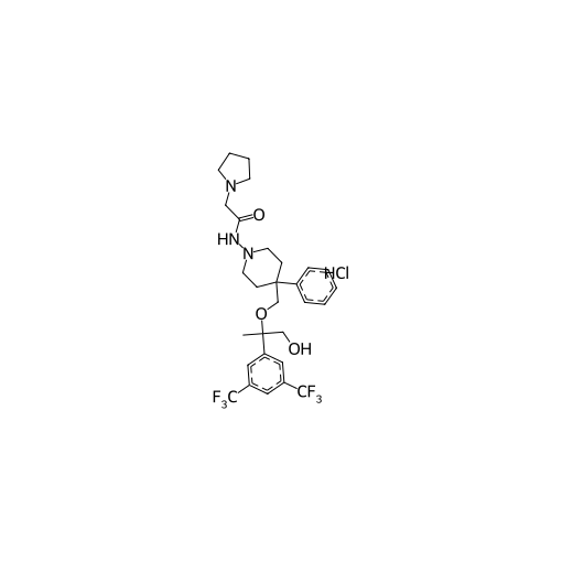 CC(CO)(OCC1(c2ccccc2)CCN(NC(=O)CN2CCCC2)CC1)c1cc(C(F)(F)F)cc(C(F)(F)F)c1.Cl